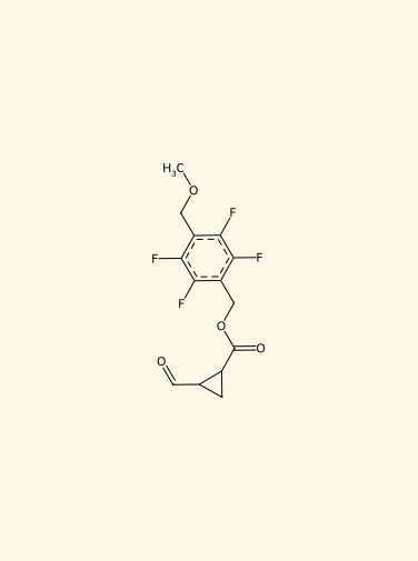 COCc1c(F)c(F)c(COC(=O)C2CC2C=O)c(F)c1F